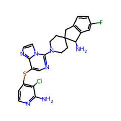 Nc1nccc(Sc2cnc(N3CCC4(CC3)Cc3ccc(F)cc3[C@H]4N)n3ccnc23)c1Cl